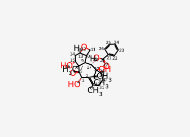 CC1=C2[C@@H](O)C(=O)[C@@]3(C)C([C@@H]4CO[C@@H]4C[C@@H]3O)[C@H](OC(=O)c3ccccc3)[C@](O)(CCC1)C2(C)C